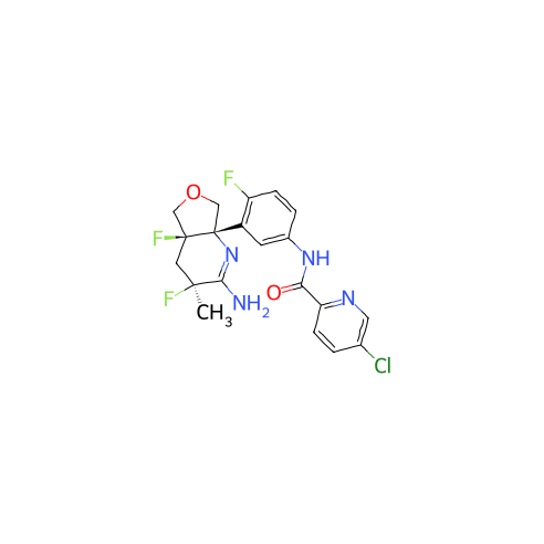 C[C@]1(F)C[C@]2(F)COC[C@]2(c2cc(NC(=O)c3ccc(Cl)cn3)ccc2F)N=C1N